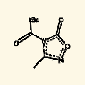 Cc1noc(=O)n1C(=O)C(C)(C)C